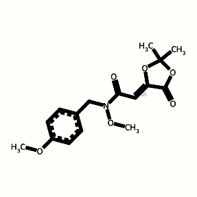 COc1ccc(CN(OC)C(=O)/C=C2\OC(C)(C)OC2=O)cc1